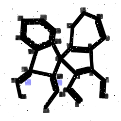 C=CC1=C(C=C)C2(C3=C1C=CCC3)C(=C/C)/C(=C\C)c1ccccc12